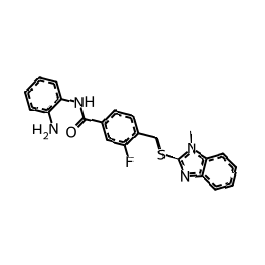 Cn1c(SCc2ccc(C(=O)Nc3ccccc3N)cc2F)nc2ccccc21